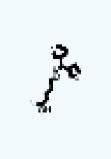 O=C(O)CCCCO/N=C(/c1cccnc1)c1ccsc1